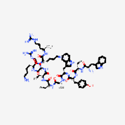 CC[C@H](C)[C@H](NC(=O)[C@H](Cc1c[nH]c2ccccc12)NC(=O)[C@H](Cc1ccc(O)cc1)NC(=O)[C@H](CC(C)C)NC(=O)[C@@H](N)Cc1c[nH]c2ccccc12)C(=O)N[C@@H](CC(C)C)C(=O)N[C@@H](CC(C)C)C(=O)N[C@@H](CCCNC(=N)N)C(=O)N[C@@H](CCCCN)C(=O)N[C@@H](CCCCN)C(=O)N[C@@H](CCCNC(=N)N)C(=O)O